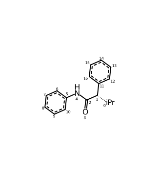 CC(C)[C@H](C(=O)Nc1ccccc1)c1ccccc1